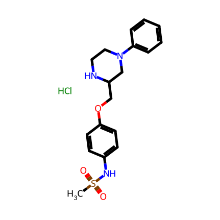 CS(=O)(=O)Nc1ccc(OCC2CN(c3ccccc3)CCN2)cc1.Cl